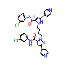 O=C(Nc1cccc(Cl)c1)c1cc(-c2ccncc2)nn1CCCCn1nc(-c2ccncc2)cc1C(=O)Nc1cccc(Cl)c1